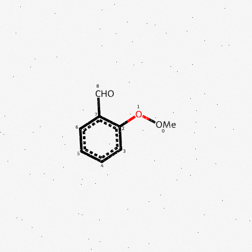 COOc1ccccc1C=O